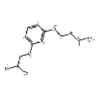 CCC(CC)COc1cccc(OCCNN)c1